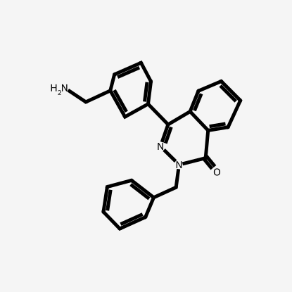 NCc1cccc(-c2nn(Cc3ccccc3)c(=O)c3ccccc23)c1